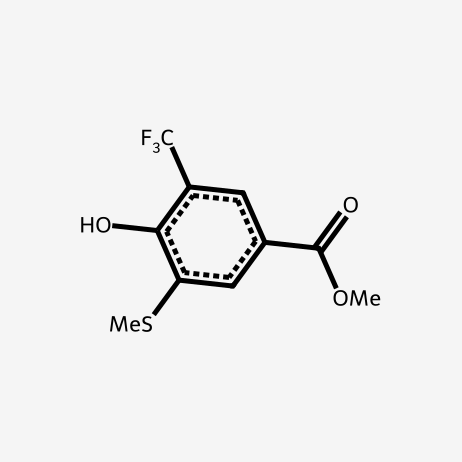 COC(=O)c1cc(SC)c(O)c(C(F)(F)F)c1